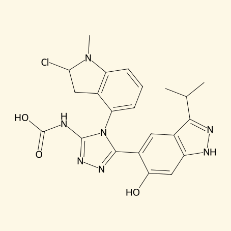 CC(C)c1n[nH]c2cc(O)c(-c3nnc(NC(=O)O)n3-c3cccc4c3CC(Cl)N4C)cc12